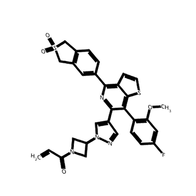 C=CC(=O)N1CC(n2cc(-c3nc(-c4ccc5c(c4)CS(=O)(=O)C5)c4ccsc4c3-c3ccc(F)cc3OC)cn2)C1